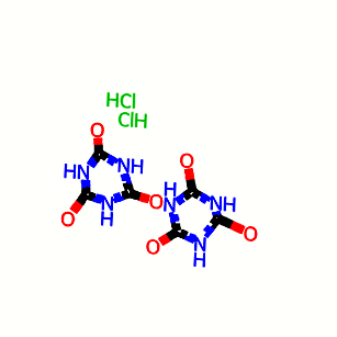 Cl.Cl.O=c1[nH]c(=O)[nH]c(=O)[nH]1.O=c1[nH]c(=O)[nH]c(=O)[nH]1